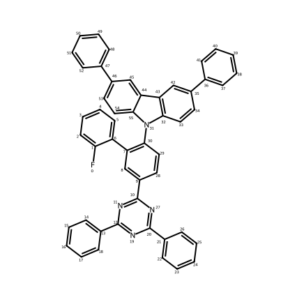 Fc1ccccc1-c1cc(-c2nc(-c3ccccc3)nc(-c3ccccc3)n2)ccc1-n1c2ccc(-c3ccccc3)cc2c2cc(-c3ccccc3)ccc21